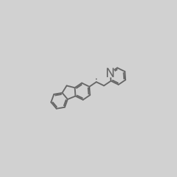 [CH](Cc1ccccn1)c1ccc2c(c1)Cc1ccccc1-2